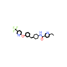 CCc1ccc(C(=O)NC2CCC(=Cc3cccc(Oc4ccc(C(F)(F)F)cn4)c3)CC2)cn1